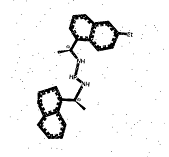 CCc1ccc2c([C@H](C)NPN[C@@H](C)c3cccc4ccccc34)cccc2c1